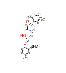 CC(=O)Nc1cc(Cl)ccc1OC[C@H](O)CN1CCC2(CC1)OCc1ccc(Cl)cc12